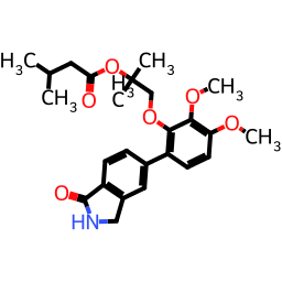 COc1ccc(-c2ccc3c(c2)CNC3=O)c(OCC(C)(C)OC(=O)CC(C)C)c1OC